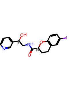 O=C(NC[C@H](O)c1cccnc1)[C@@H]1CCc2cc(I)ccc2O1